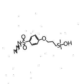 C[Si](C)(O)CCCOc1ccc(S(=O)(=O)N=[N+]=[N-])cc1